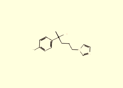 CC(O)(CCCn1ccnc1)c1ccc(F)cc1